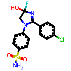 NS(=O)(=O)c1ccc(N2CC(O)(F)N=C2c2ccc(Cl)cc2)cc1